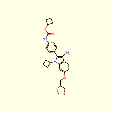 Nc1c(-c2ccc(NC(=O)OC3CCC3)cc2)n(C2CCC2)c2cc(OCC3COCO3)ccc12